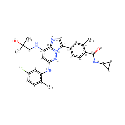 Cc1ccc(F)cc1Nc1cc(NCC(C)(C)O)c2ncc(-c3ccc(C(=O)NC4CC4)c(C)c3)n2n1